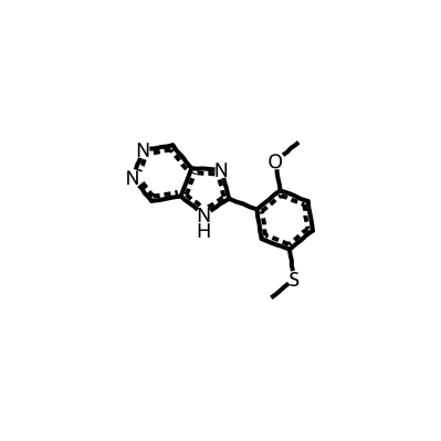 COc1ccc(SC)cc1-c1nc2cnncc2[nH]1